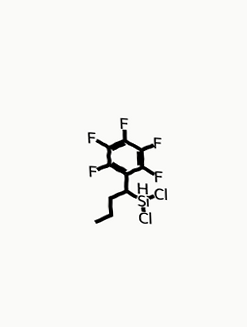 CCCC(c1c(F)c(F)c(F)c(F)c1F)[SiH](Cl)Cl